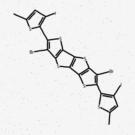 Cc1cc(I)c(-c2sc3c(sc4c5sc(-c6sc(C)cc6I)c(Br)c5sc34)c2Br)s1